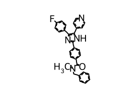 CN(Cc1ccccc1)C(=O)c1ccc(-c2nc(-c3ccc(F)cc3)c(-c3ccncc3)[nH]2)cc1